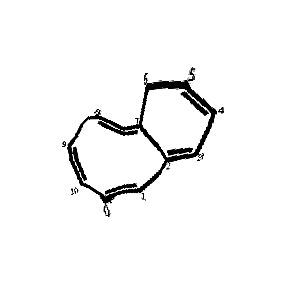 [C]1=CC2=CC=CCC2=CC=C1